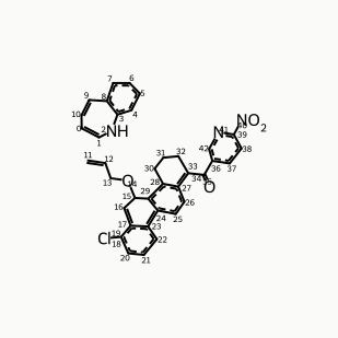 C1=CNc2ccccc2C=C1.C=CCOC1C=c2c(Cl)cccc2=c2ccc3c(c21)CCCC=3C(=O)c1ccc([N+](=O)[O-])nc1